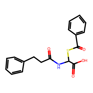 O=C(CCc1ccccc1)NC(SC(=O)c1ccccc1)C(=O)O